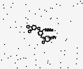 CNCc1cc(CN2CCN(C(C)C)CCC2=O)ccc1Oc1ccc(Cl)c(Cl)c1